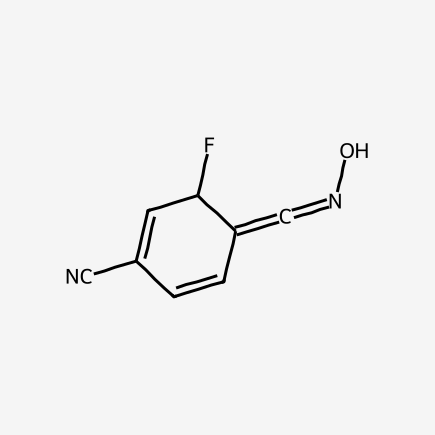 N#CC1=CC(F)C(=C=NO)C=C1